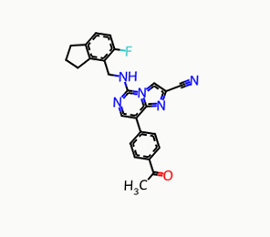 CC(=O)c1ccc(-c2cnc(NCc3c(F)ccc4c3CCC4)n3cc(C#N)nc23)cc1